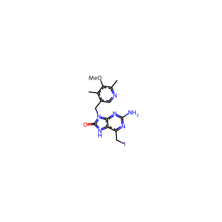 COc1c(C)ncc(Cn2c(=O)[nH]c3c(CI)nc(N)nc32)c1C